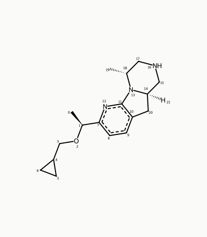 C[C@H](OCC1CC1)c1ccc2c(n1)N1[C@@H](CNC[C@H]1C)C2